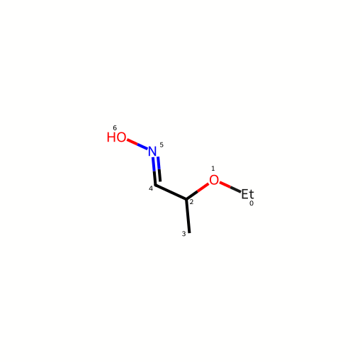 CCOC(C)/C=N/O